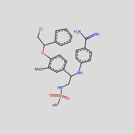 CCCS(=O)(=O)NCC(Nc1ccc(C(=N)N)cc1)c1ccc(OC(CCl)c2ccccc2)c(OC)c1